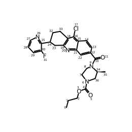 CCCOC(=O)N1CCN(C(=O)c2ccc3c(Cl)c4c(nc3c2)CC(c2ncccc2F)CC4)[C@@H](C)C1